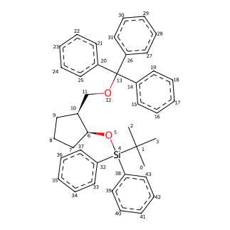 CC(C)(C)[Si](O[C@H]1CCC[C@H]1COC(c1ccccc1)(c1ccccc1)c1ccccc1)(c1ccccc1)c1ccccc1